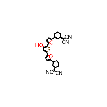 N#CC(C#N)=C1C=C(c2ccc(-c3cc(O)c(-c4ccc(C5=CC(=C(C#N)C#N)CCC5)o4)s3)o2)CCC1